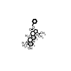 CC(C)[C@@H]1CC[C@]2(C(=O)OCc3ccccc3)CC[C@]3(C)C(CC[C@@H]4[C@@]5(C)CC[C@@H](O)C(C)(C)[C@@H]5CC[C@]43C)[C@H]12